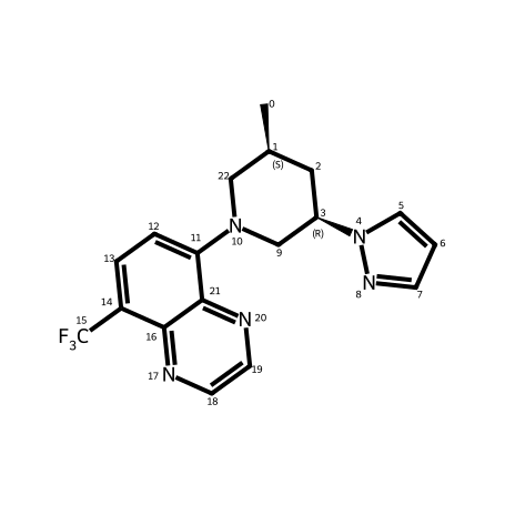 C[C@H]1C[C@@H](n2cccn2)CN(c2ccc(C(F)(F)F)c3nccnc23)C1